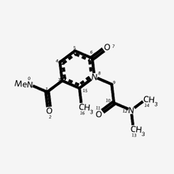 CNC(=O)c1ccc(=O)n(CC(=O)N(C)C)c1C